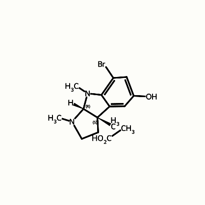 CC(=O)O.CN1CC[C@@]2(C)c3cc(O)cc(Br)c3N(C)[C@@H]12